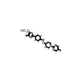 Cc1cnc(N2CCC(ON=C3CCC(c4nc(C)c(C(=O)O)s4)CC3)CC2)nc1